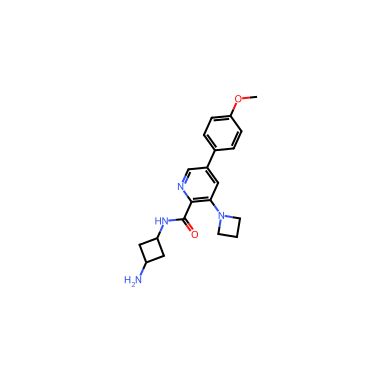 COc1ccc(-c2cnc(C(=O)NC3CC(N)C3)c(N3CCC3)c2)cc1